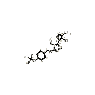 CCn1c(SCc2ccc(OC(F)(F)F)cc2)nnc1-c1scc(C)c1Cl